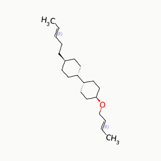 C/C=C/CC[C@H]1CC[C@H]([C@H]2CC[C@H](OC/C=C/C)CC2)CC1